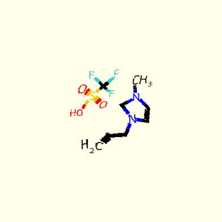 C=CCN1C=CN(C)C1.O=S(=O)(O)C(F)(F)F